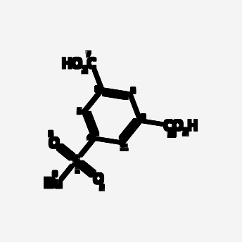 CCC(C)S(=O)(=O)c1cc(C(=O)O)cc(C(=O)O)c1